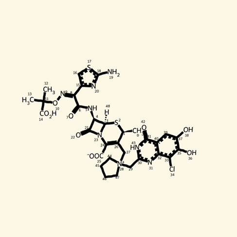 C[C@@H]1S[C@@H]2[C@H](NC(=O)/C(=N\OC(C)(C)C(=O)O)c3csc(N)n3)C(=O)N2C(C(=O)[O-])=C1C[N+]1(Cc2nc3c(Cl)c(O)c(O)cc3c(=O)[nH]2)CCCC1